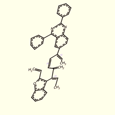 C=Cc1oc2ccccc2c1/C(=C\C)C(=C)/C=C\C(=C/C)c1ccc2nc(-c3ccccc3)nc(-c3ccccc3)c2c1